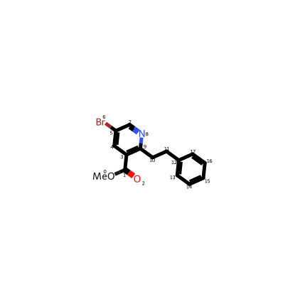 COC(=O)c1cc(Br)cnc1CCc1ccccc1